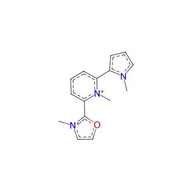 Cn1cccc1-c1cccc(-c2occ[n+]2C)[n+]1C